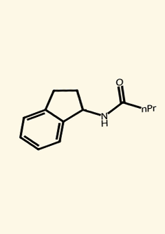 CCCC(=O)N[C]1CCc2ccccc21